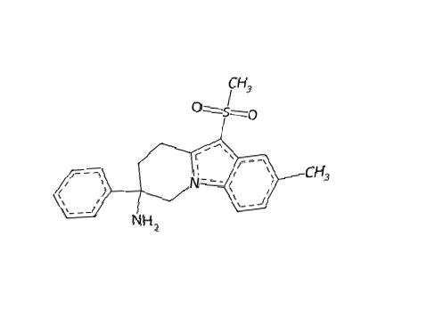 Cc1ccc2c(c1)c(S(C)(=O)=O)c1n2CC(N)(c2ccccc2)CC1